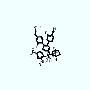 COCCc1ccc(-c2ccc(C(=O)N3[C@H]4CC[C@@H]3[C@H](NS(=O)(=O)c3ccc([N+](=O)[O-])cc3[N+](=O)[O-])C4)cc2-c2ccc(C#N)c(F)c2)c(F)c1